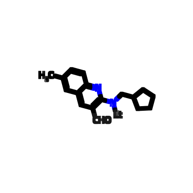 CCN(CC1CCCC1)c1nc2ccc(C)cc2cc1C=O